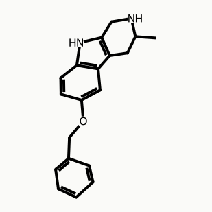 CC1Cc2c([nH]c3ccc(OCc4ccccc4)cc23)CN1